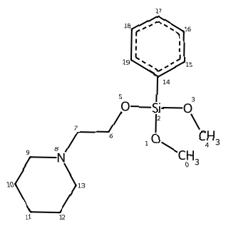 CO[Si](OC)(OCCN1CCCCC1)c1ccccc1